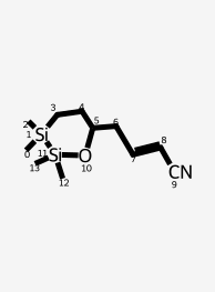 C[Si]1(C)CCC(CC=CC#N)O[Si]1(C)C